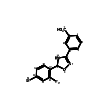 O=C(O)c1cccc(C2=NOC(c3ccc(Br)cc3F)N2)c1